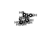 O=c1c(O[C@@H]2O[C@H](CO[C@@H]3O[C@H](CO)[C@@H](O)[C@H](O)[C@H]3O)[C@@H](O)[C@H](O)[C@H]2O)c(-c2ccc(O)cc2)oc2cc(O)cc(O)c12